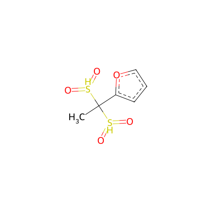 CC(c1ccco1)([SH](=O)=O)[SH](=O)=O